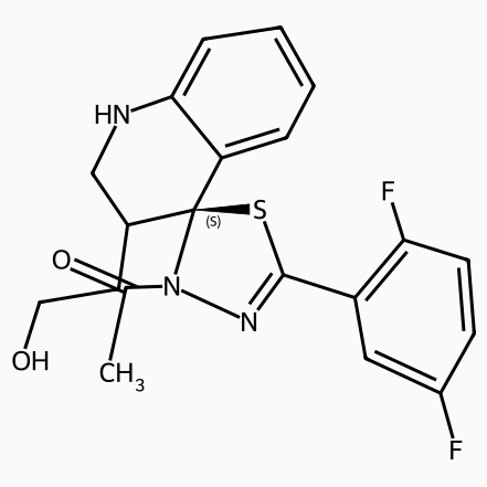 CC(=O)N1N=C(c2cc(F)ccc2F)S[C@@]12c1ccccc1NCC2CCO